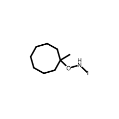 CC1(ONI)CCCCCCC1